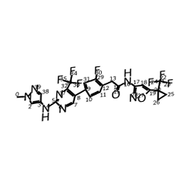 Cn1cc(Nc2ncc(-c3ccc(CC(=O)Nc4cc(C5(C(F)(F)F)CC5)on4)c(F)c3)c(C(F)(F)F)n2)cn1